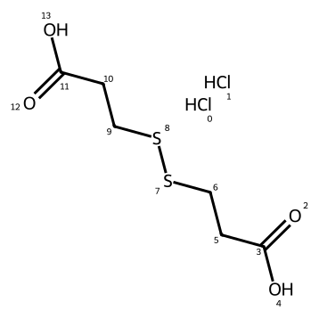 Cl.Cl.O=C(O)CCSSCCC(=O)O